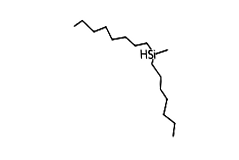 CCCCCCCC[SiH](C)CCCCCCC